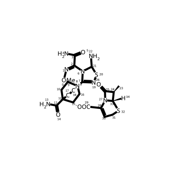 CO/N=C(/C(N)=O)N1C([N+]23CCC(C(N)=O)(CC2)CC3)=NSC1N.C[C@@H]1C(=O)N2C(C(=O)[O-])=CCS[C@@H]12